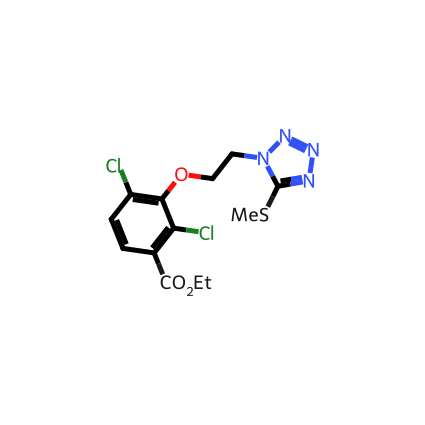 CCOC(=O)c1ccc(Cl)c(OCCn2nnnc2SC)c1Cl